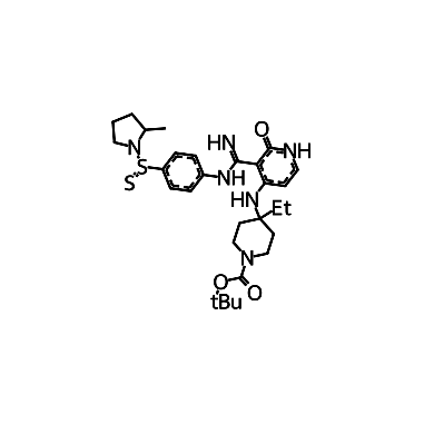 CCC1(Nc2cc[nH]c(=O)c2C(=N)Nc2ccc(S(=S)N3CCCC3C)cc2)CCN(C(=O)OC(C)(C)C)CC1